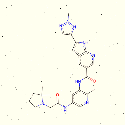 Cc1ncc(NC(=O)CN2CCCC2(C)C)cc1NC(=O)c1cnc2[nH]c(-c3cnn(C)n3)cc2c1